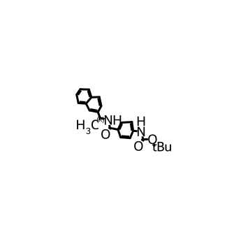 C[C@@H](NC(=O)c1ccc(NC(=O)OC(C)(C)C)cc1)c1ccc2ccccc2c1